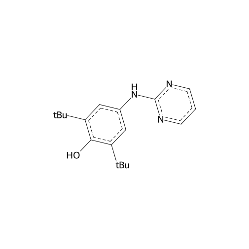 CC(C)(C)c1cc(Nc2ncccn2)cc(C(C)(C)C)c1O